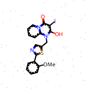 COc1ccccc1-c1ncc(C[n+]2c(O)c(I)c(=O)n3ccccc32)s1